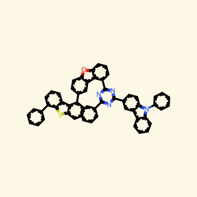 c1ccc(-c2nc(-c3ccc4c(c3)c3ccccc3n4-c3ccccc3)nc(-c3cccc4oc5ccc(-c6cccc7sc8c(-c9ccccc9)cccc8c67)cc5c34)n2)cc1